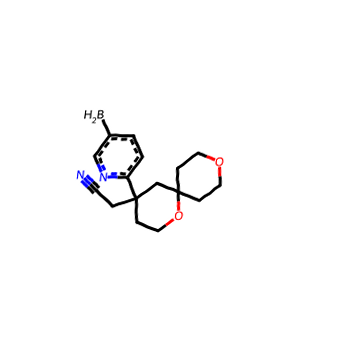 Bc1ccc(C2(CC#N)CCOC3(CCOCC3)C2)nc1